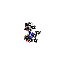 c1ccc(-c2cc(-c3ccccc3)cc(-c3nc(-c4ccc5c(c4)-c4ccccc4-c4ccccc4C54c5ccccc5-c5ccccc54)cc(-c4cccc5oc6ccccc6c45)n3)c2)cc1